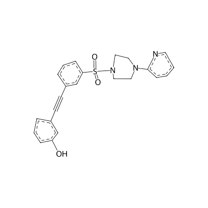 O=S(=O)(c1cccc(C#Cc2cccc(O)c2)c1)N1CCN(c2ccccn2)CC1